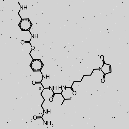 CNCc1ccc(NC(=O)OCc2ccc(NC(=O)[C@H](CCCNC(N)=O)NC(=O)C(NC(=O)CCCCCN3C(=O)C=CC3=O)C(C)C)cc2)cc1